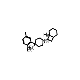 CCc1ccc(C)cc1C1(CC)CCN([C@@H]2CC3CCCC[C@H]32)CC1